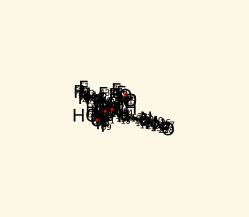 COC(=O)N[C@H](C(=O)N[C@@H](Cc1ccc(C#Cc2ccc(N3CCN(C4CCOC4)CC3)nc2)cc1)[C@@H](O)CN(Cc1c(F)cc(-c2cnn(C(F)F)c2)cc1F)NC(=O)[C@@H](NC(=O)O)C(C)(C)C(F)(F)F)C(C)(C)C(F)(F)F